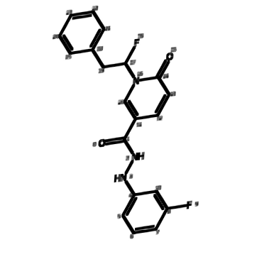 O=C(NNc1cccc(F)c1)c1ccc(=O)n(C(F)Cc2ccccc2)c1